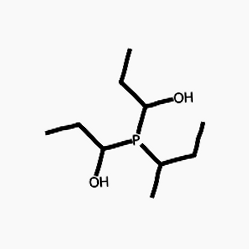 CCC(C)P(C(O)CC)C(O)CC